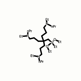 CCCN(CC)CCCC(CCCN(CC)CCC)(CCCN(CC)CCC)C[Si](CC)(OCC)OCC